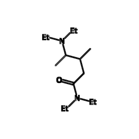 CCN(CC)C(=O)CC(C)C(C)N(CC)CC